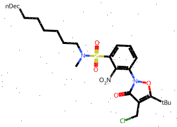 CCCCCCCCCCCCCCCCN(C)S(=O)(=O)c1cccc(-n2oc(C(C)(C)C)c(CCl)c2=O)c1[N+](=O)[O-]